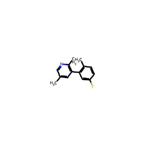 Cc1cnc(C)c(-c2cc(F)ccc2C)c1